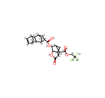 O=C(OC1C2CC3C1OC(=O)C3C2C(=O)OCC(F)(F)F)C1CC2CC1C1C3C=CC(C3)C21